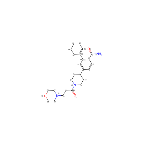 NC(=O)c1ccc(C2CCN(C(=O)CCN3CCOCC3)CC2)cc1C1=CCCCC1